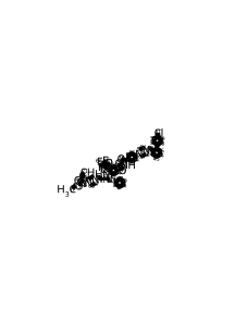 CCOP(=O)(CN1CCN(CC[C@H](CSc2ccccc2)Nc2ccc(S(=O)(=O)NC(=O)c3ccc(N4CCN(Cc5ccccc5-c5ccc(Cl)cc5)CC4)cc3)cc2S(=O)(=O)C(F)(F)F)CC1)OCC